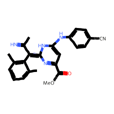 COC(=O)C1=N/C(=C(/C(C)=N)c2c(C)cccc2C)NC(Nc2ccc(C#N)cc2)=C1